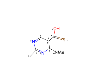 CNc1nc(C)ncc1C(O)=S